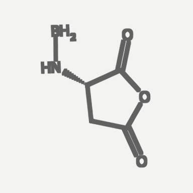 BN[C@H]1CC(=O)OC1=O